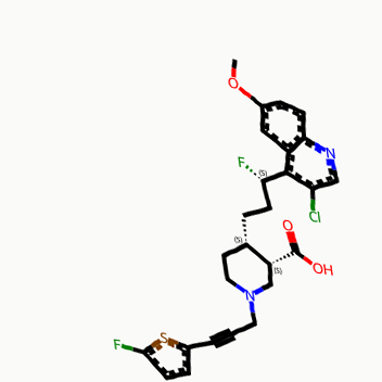 COc1ccc2ncc(Cl)c([C@@H](F)CC[C@H]3CCN(CC#Cc4ccc(F)s4)C[C@H]3C(=O)O)c2c1